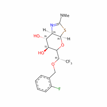 CNC1=N[C@@H]2[C@@H](O)[C@H](O)C([C@@H](OCc3ccccc3F)C(F)(F)F)O[C@@H]2S1